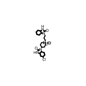 Cl.O.O=c1[nH]c2ccccc2n1CCCN1CCC(n2c(=O)[nH]c3cc(Cl)ccc32)CC1